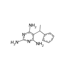 CC(c1ccccc1)c1c(N)nc(N)nc1N